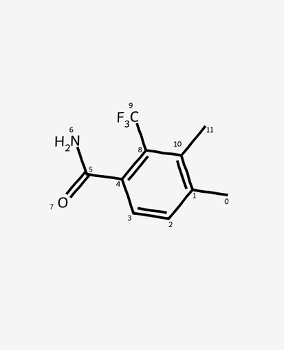 Cc1ccc(C(N)=O)c(C(F)(F)F)c1C